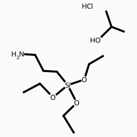 CC(C)O.CCO[Si](CCCN)(OCC)OCC.Cl